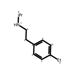 CCc1ccc(CCNC(C)C)cc1